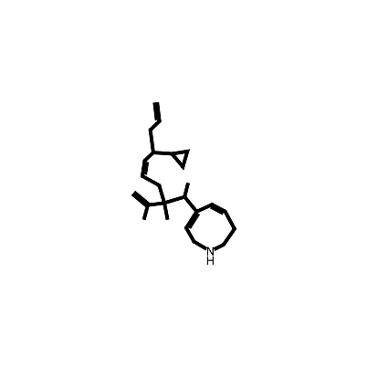 C=CCC(/C=C\CC(C)(C(=C)C)C(C)C1=C/CNCC/C=C\1)C1CC1